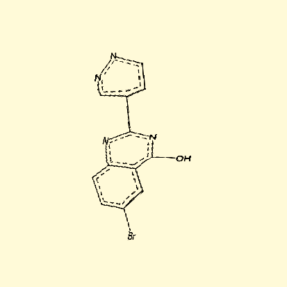 Oc1nc(-c2ccnnc2)nc2ccc(Br)cc12